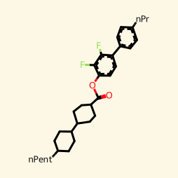 CCCCCC1CCC(C2CCC(C(=O)Oc3ccc(-c4ccc(CCC)cc4)c(F)c3F)CC2)CC1